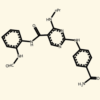 CCCNc1nc(Nc2ccc(C(N)=O)cc2)ncc1C(=O)Nc1ccccc1NC=O